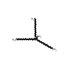 CCCCCCCCCCCCCCCCCCO[Si](CCN)(OCCCCCCCCCCCCCCCCCC)OCCCCCCCCCCCCCCCCCC